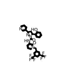 O=C(Nc1cccn(Cc2cc(C(F)(F)F)cc(C(F)(F)F)c2)c1=O)N1N=C(c2cccnc2)CC1c1ccccc1O